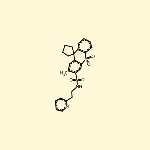 Cc1cc2c(cc1S(=O)(=O)NCCc1ccccn1)S(=O)(=O)c1ccccc1C21CCCC1